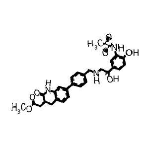 COC(=O)CC1Cc2ccc(-c3ccc(CNC[C@H](O)c4ccc(O)c(NS(C)(=O)=O)c4)cc3)cc2NC1=O